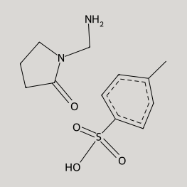 Cc1ccc(S(=O)(=O)O)cc1.NCN1CCCC1=O